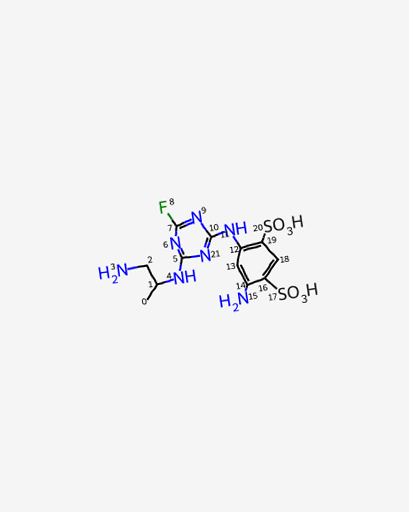 CC(CN)Nc1nc(F)nc(Nc2cc(N)c(S(=O)(=O)O)cc2S(=O)(=O)O)n1